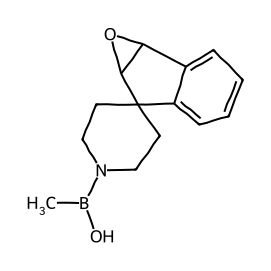 CB(O)N1CCC2(CC1)c1ccccc1C1OC12